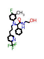 Cc1cc(N(CCCc2ccc(C(F)(F)F)nc2)C(C(=O)NCCO)c2ccccc2)ccc1F